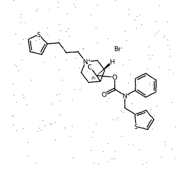 O=C(O[C@H]1C[N+]2(CCCc3cccs3)CCC1CC2)N(Cc1cccs1)c1ccccc1.[Br-]